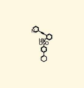 O=S(=O)(Nc1ccccc1C#Cc1cccnc1)c1ccc(C2=CCCCC2)cc1